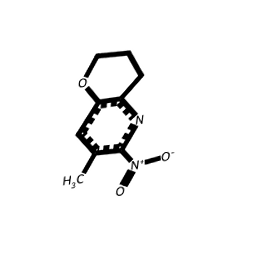 Cc1cc2c(nc1[N+](=O)[O-])CCCO2